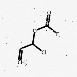 C=CC(Cl)OC(=O)F